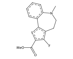 COC(=O)c1sc2c(c1F)CCN(C)c1ccccc1-2